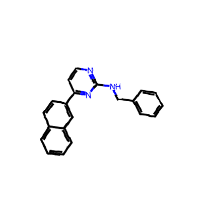 c1ccc(CNc2nccc(-c3ccc4ccccc4c3)n2)cc1